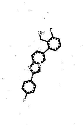 OCc1c(F)cccc1-c1ccc2nc(-c3ccc(F)cc3)cn2c1